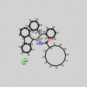 O=C([NH][Zr+2]([CH]1c2ccccc2-c2ccccc21)[SiH](c1ccccc1)c1ccccc1)C1CCCCCCCCCCC1.[Cl-].[Cl-]